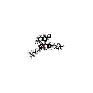 CC(C)(C)[Si](C)(C)OCc1cc2nccc(-c3cc(Cl)cc4c3N(c3cnn(COCC[Si](C)(C)C)c3)C(=O)CC4)c2s1